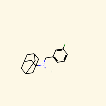 CN(Cc1cccc(Br)c1)C12CC3CC(CC(C3)C1)C2